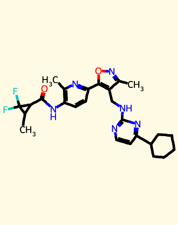 Cc1nc(-c2onc(C)c2CNc2nccc(C3CCCCC3)n2)ccc1NC(=O)C1C(C)C1(F)F